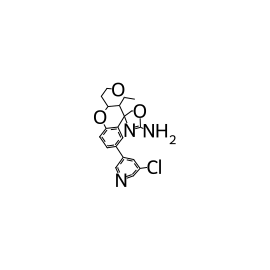 CC1OCCC2Oc3ccc(-c4cncc(Cl)c4)cc3C3(COC(N)=N3)C12